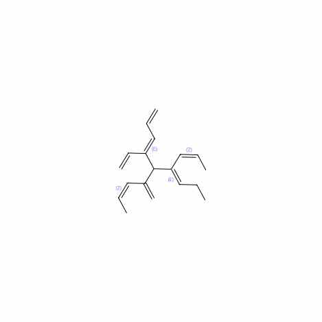 C=C/C=C(\C=C)C(C(=C)/C=C\C)C(/C=C\C)=C/CC